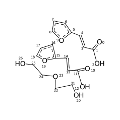 O=C(O)C=Cc1ccco1.O=C(O)C=Cc1ccco1.OCCOCCO